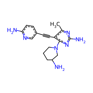 Cc1nc(N)nc(N2CCCC(N)C2)c1C#Cc1ccc(N)nc1